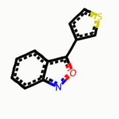 c1ccc2c(-c3ccsc3)onc2c1